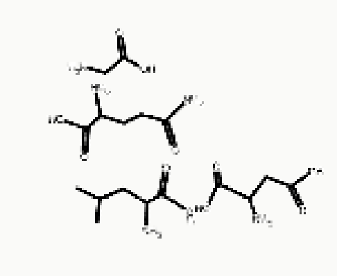 CC(C)CC(N)C(=O)O.NC(=O)CCC(N)C(=O)O.NC(CC(=O)O)C(=O)O.NCC(=O)O